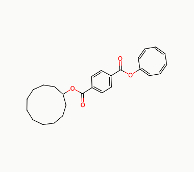 O=C(OC1=C/C=C\C=C/C=C\1)c1ccc(C(=O)OC2CCCCCCCCCC2)cc1